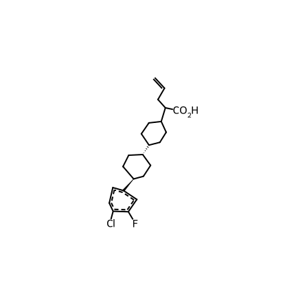 C=CCC(C(=O)O)C1CCC([C@H]2CC[C@H](c3ccc(Cl)c(F)c3)CC2)CC1